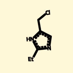 CCc1ncc(CCl)[nH]1